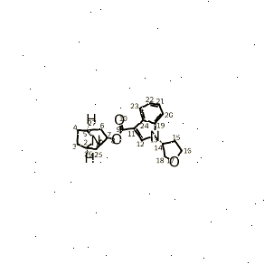 CN1[C@@H]2CC[C@H]1C[C@@H](OC(=O)c1cn([C@@H]3CCOC3)c3ccccc13)C2